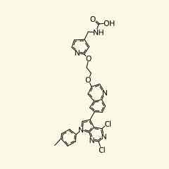 Cc1ccc(-n2cc(-c3ccc4ncc(OCCOc5cc(CNC(=O)O)ccn5)cc4c3)c3c(Cl)nc(Cl)nc32)cc1